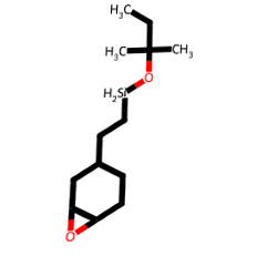 CCC(C)(C)O[SiH2]CCC1CCC2OC2C1